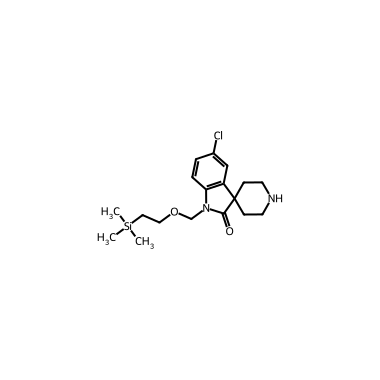 C[Si](C)(C)CCOCN1C(=O)C2(CCNCC2)c2cc(Cl)ccc21